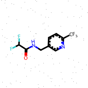 O=C(NCc1ccc(C(F)(F)F)nc1)C(F)F